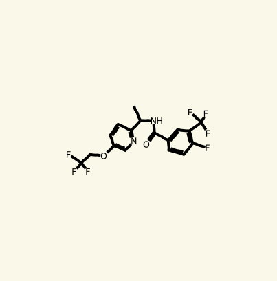 CC(NC(=O)c1ccc(F)c(C(F)(F)F)c1)c1ccc(OCC(F)(F)F)cn1